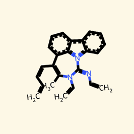 C=C/C=C\C1=C(C)N(C=C)/C(=N\C=C)n2c3ccccc3c3cccc1c32